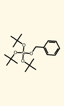 CC(C)(C)O[Si](OCc1ccccc1)(OC(C)(C)C)OC(C)(C)C